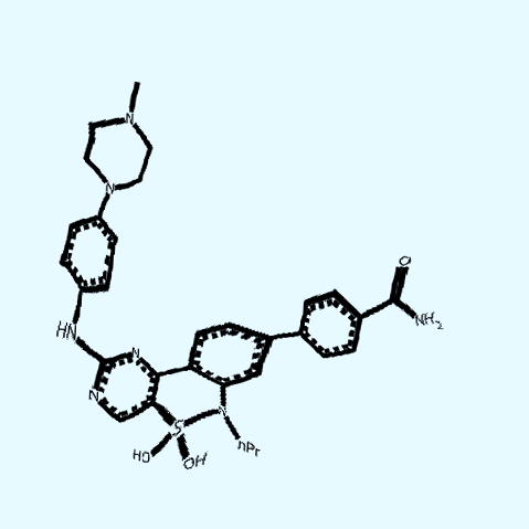 CCCN1c2cc(-c3ccc(C(N)=O)cc3)ccc2-c2nc(Nc3ccc(N4CCN(C)CC4)cc3)ncc2S1(O)O